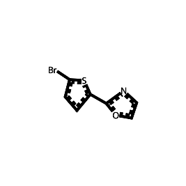 Brc1ccc(-c2ncco2)s1